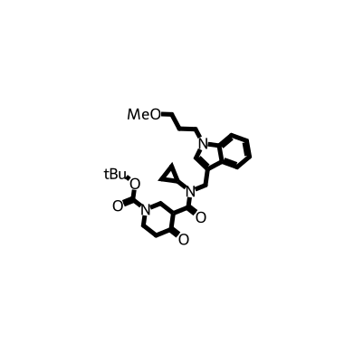 COCCCn1cc(CN(C(=O)C2CN(C(=O)OC(C)(C)C)CCC2=O)C2CC2)c2ccccc21